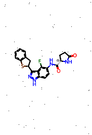 O=C1CC[C@@H](C(=O)Nc2ccc3[nH]nc(C4Cc5ccccc5S4)c3c2F)N1